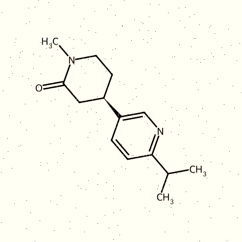 CC(C)c1ccc([C@@H]2CCN(C)C(=O)C2)cn1